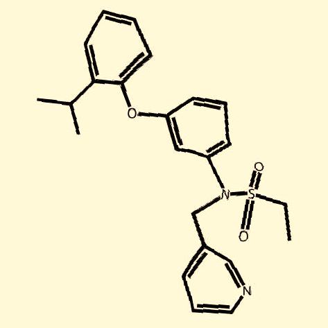 CCS(=O)(=O)N(Cc1cccnc1)c1cccc(Oc2ccccc2C(C)C)c1